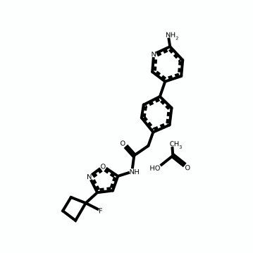 CC(=O)O.Nc1ccc(-c2ccc(CC(=O)Nc3cc(C4(F)CCC4)no3)cc2)cn1